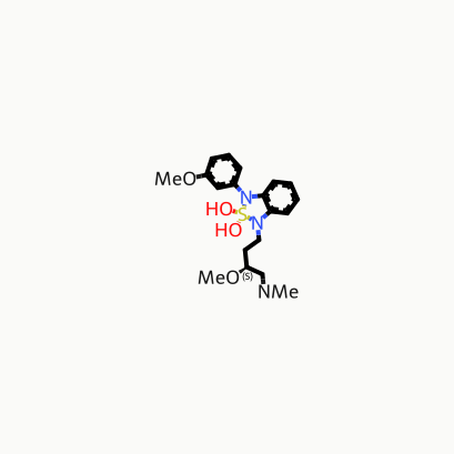 CNC[C@H](CCN1c2ccccc2N(c2cccc(OC)c2)S1(O)O)OC